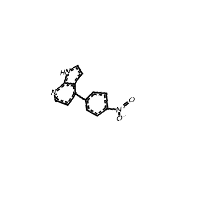 O=[N+]([O-])c1ccc(-c2ccnc3[nH]ccc23)cc1